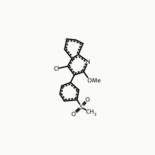 COc1nc2cc[c]cc2c(Cl)c1-c1cccc(S(C)(=O)=O)c1